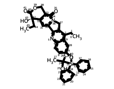 CCc1c2c(nc3ccc(O[Si](c4ccccc4)(c4ccccc4)C(C)(C)C)cc13)-c1cc3c(c(=O)n1C2)COC(=O)[C@]3(O)CC